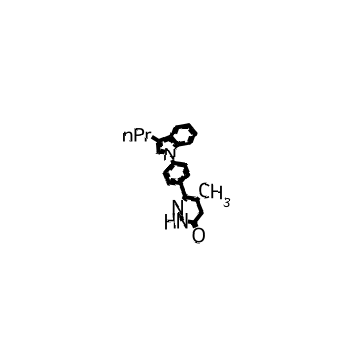 CCCc1cn(-c2ccc(C3=NNC(=O)CC3C)cc2)c2ccccc12